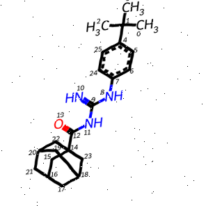 CC(C)(C)c1ccc(NC(=N)NC(=O)C23CC4CC(CC(C4)C2)C3)cc1